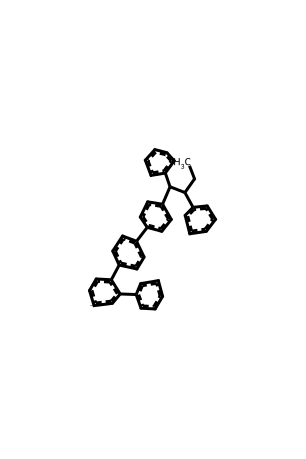 CCC(c1ccccc1)C(c1ccccc1)c1ccc(-c2ccc(-c3cc[c]cc3-c3ccccc3)cc2)cc1